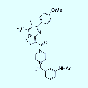 COc1ccc(-c2nc3c(C(=O)N4CCN([C@@H](C)c5cccc(NC(C)=O)c5)CC4)cnn3c(C(F)(F)F)c2C)cc1